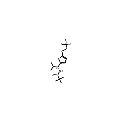 CC(C)[C@@H](N[S+]([O-])C(C)(C)C)c1ccc(OCC(F)(F)F)s1